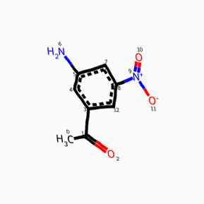 CC(=O)c1cc(N)cc([N+](=O)[O-])c1